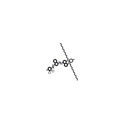 CCCCCCCCCCCCN1c2cccc3c(/N=N/c4ccc(/N=N/c5ccc(C)c(Cl)c5Cl)c5ccccc45)ccc(c23)N(CCCCCCCCCCCC)C12CCC(C)CC2